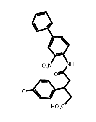 O=C(O)CC(CC(=O)Nc1ccc(-c2ccccc2)cc1[N+](=O)[O-])c1ccc(Cl)cc1